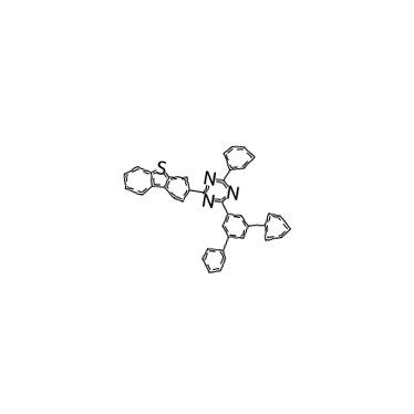 c1ccc(-c2cc(-c3ccccc3)cc(-c3nc(-c4ccccc4)nc(-c4ccc5c(c4)sc4ccccc45)n3)c2)cc1